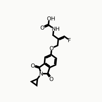 O=C(O)NC/C(=C/F)COc1ccc2c(c1)C(=O)N(C1CC1)C2=O